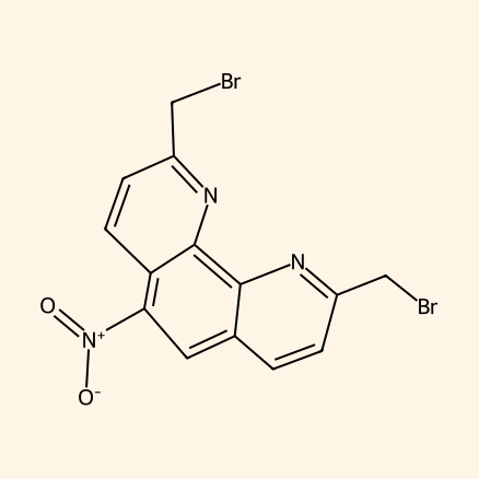 O=[N+]([O-])c1cc2ccc(CBr)nc2c2nc(CBr)ccc12